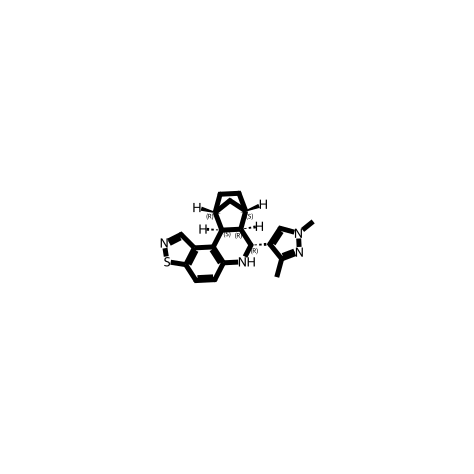 Cc1nn(C)cc1[C@@H]1Nc2ccc3sncc3c2[C@H]2[C@@H]3CC[C@@H](C3)[C@H]21